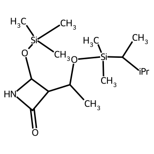 CC(C)C(C)[Si](C)(C)OC(C)C1C(=O)NC1O[Si](C)(C)C